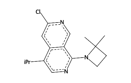 CC(C)c1cnc(N2CCC2(C)C)c2cnc(Cl)cc12